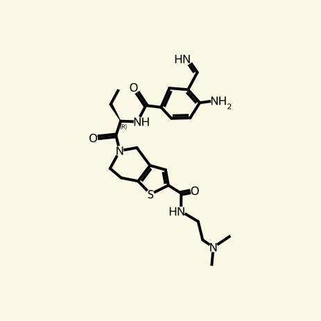 CC[C@@H](NC(=O)c1ccc(N)c(C=N)c1)C(=O)N1CCc2sc(C(=O)NCCN(C)C)cc2C1